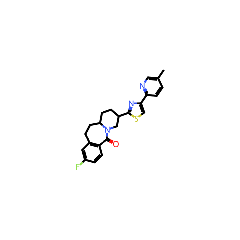 Cc1ccc(-c2csc(C3CCC4CCc5cc(F)ccc5C(=O)N4C3)n2)nc1